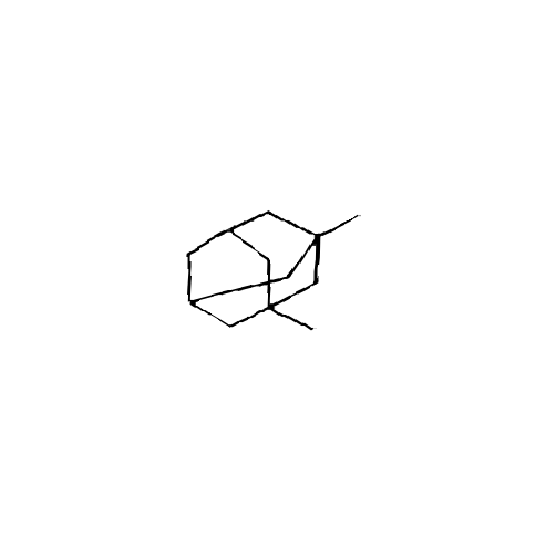 IC12CC3CC(C1)CC(I)(C3)C2